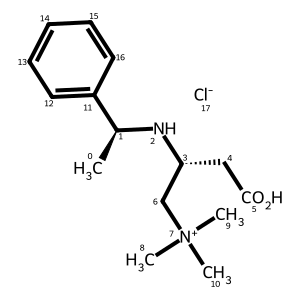 C[C@H](N[C@H](CC(=O)O)C[N+](C)(C)C)c1ccccc1.[Cl-]